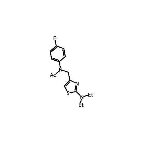 CCN(CC)c1nc(CN(C(C)=O)c2ccc(F)cc2)cs1